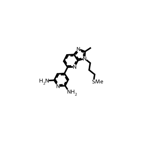 CSCCCn1c(C)nc2ccc(-c3cc(N)nc(N)c3)nc21